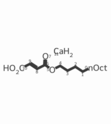 CCCCCCCCCCCCOC(=O)C=CC(=O)O.[CaH2]